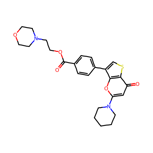 O=C(OCCN1CCOCC1)c1ccc(-c2csc3c(=O)cc(N4CCCCC4)oc23)cc1